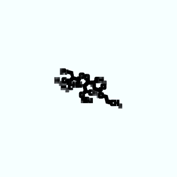 C=CCOC(=O)CN(C)C(=O)[C@@H](NC(=O)[C@H](CC(C)C)N(C)C)[C@@H](C)OCCCC